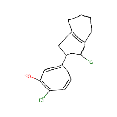 Oc1cc(C2CC3=C(CCCC3)C2Cl)ccc1Cl